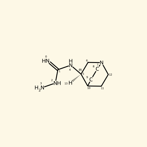 N=C(NN)N[C@H]1CN2CCC1CC2